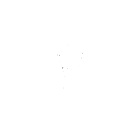 [O-][S+]1C2C=CC=NC21